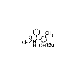 Cc1cc(C(C)(C)C)c(O)c2c1C1CCCCC1C2NC(=O)CCl